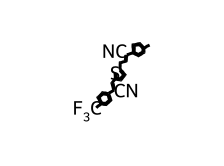 Cc1ccc(/C(C#N)=C/Cc2ccc(/C=C(\C#N)c3ccc(C(F)(F)F)cc3)s2)cc1